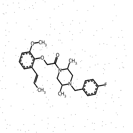 CC=Cc1cccc(OC)c1OCC(=O)N1CC(C)N(Cc2ccc(F)cc2)CC1C